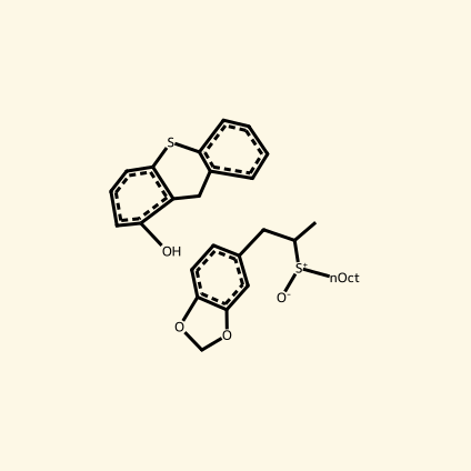 CCCCCCCC[S+]([O-])C(C)Cc1ccc2c(c1)OCO2.Oc1cccc2c1Cc1ccccc1S2